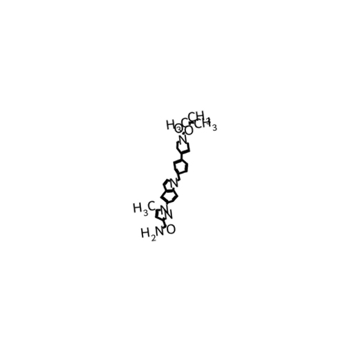 Cc1cc(C(N)=O)nn1-c1ccc2c(ccn2Cc2ccc(C3=CCN(C(=O)OC(C)(C)C)CC3)cc2)c1